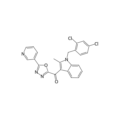 Cc1c(C(=O)c2nnc(-c3cccnc3)o2)c2ccccc2n1Cc1ccc(Cl)cc1Cl